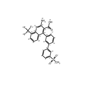 CS(=O)(=O)c1cccc(-c2cccc(-c3c(C(=O)O)c(N)nc4c(C(F)(F)F)cccc34)c2)c1